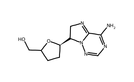 NC1=NC=NN2C1=NCC2[C@H]1CCC(CO)O1